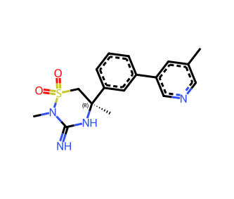 Cc1cncc(-c2cccc([C@]3(C)CS(=O)(=O)N(C)C(=N)N3)c2)c1